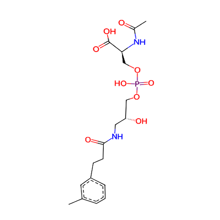 CC(=O)N[C@@H](COP(=O)(O)OC[C@H](O)CNC(=O)CCc1cccc(C)c1)C(=O)O